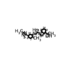 Cc1nsc(-c2ccc(C)c(NCC(=O)N3CCc4c(C(C)O)cccc43)c2)n1